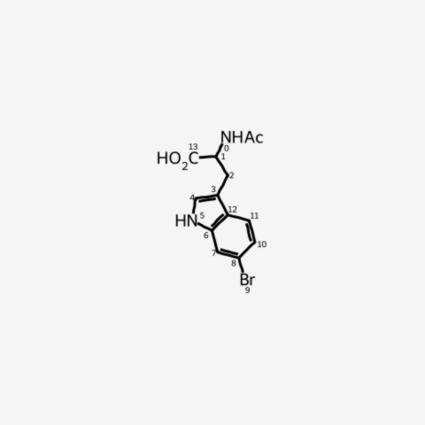 CC(=O)NC(Cc1c[nH]c2cc(Br)ccc12)C(=O)O